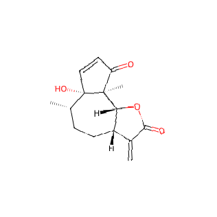 C=C1C(=O)O[C@@H]2[C@H]1CC[C@H](C)[C@@]1(O)C=CC(=O)[C@@]21C